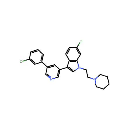 Clc1cccc(-c2cncc(-c3cn(CCN4CCCCC4)c4cc(Cl)ccc34)c2)c1